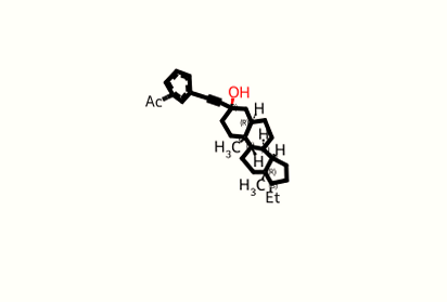 CC[C@H]1CC[C@H]2[C@@H]3CC[C@@H]4C[C@@](O)(C#Cc5cccc(C(C)=O)c5)CC[C@]4(C)[C@H]3CC[C@]12C